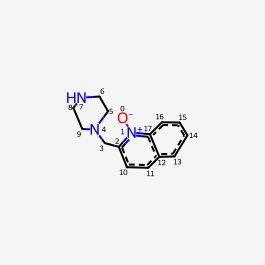 [O-][n+]1c(CN2CCNCC2)ccc2ccccc21